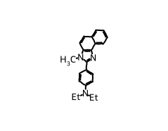 CCN(CC)c1ccc(-c2nc3c4ccccc4ccc3n2C)cc1